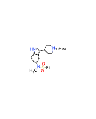 CCCCCCN1CC=C(c2c[nH]c3ccc(N(C)S(=O)(=O)CC)cc23)CC1